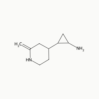 C=C1CC(C2CC2N)CCN1